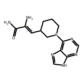 NC(=O)/C(N)=C/C1CCCN(c2ncnc3[nH]cnc23)C1